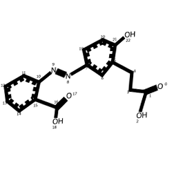 O=C(O)CCc1cc(N=Nc2ccccc2C(=O)O)ccc1O